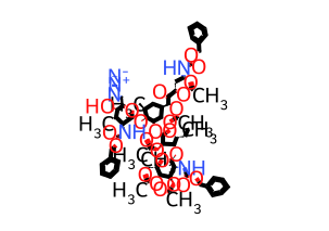 CC[C@@H]1O[C@H](O[C@H]2[C@@H](OC(C)=O)[C@H](O[C@@H]3[C@@H](OC(C)=O)[C@H](CC(=O)[C@H](CCNC(=O)OCc4ccccc4)OC(C)=O)C[C@H](C)[C@H]3O[C@H]3O[C@H](CN=[N+]=[N-])[C@@H](O)[C@H](C)[C@H]3NC(=O)OCc3ccccc3)O[C@@H]2CC)[C@H](NC(=O)OCc2ccccc2)[C@@H](OC(C)=O)[C@@H]1OC(C)=O